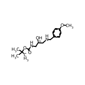 COc1ccc(CNC[C@H](O)CNC(=O)OC(C)(C)C)cc1